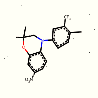 Cc1ccc(N2CC(C)(C)Oc3cc([N+](=O)[O-])ccc32)cc1C(F)(F)F